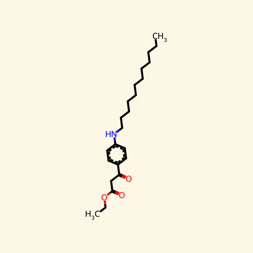 CCCCCCCCCCCCNc1ccc(C(=O)CC(=O)OCC)cc1